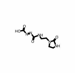 O=C(O)N=NC(=O)NCCN1CCNC1=O